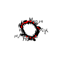 CC(C)C[C@@H]1NC(=O)[C@H](Cc2ccc(O)cc2)NC(=O)[C@H](Cc2c[nH]c3ccccc23)NC(=O)[C@H]2CCCCN2C(=O)[C@H](CCC(=O)O)NC(=O)[C@H](Cc2ccccc2)N(C)C(=O)[C@H](C(C)C)NC(=O)[C@H](CC(=O)O)NC(=O)[C@H]2CCCN2C(=O)[C@H](Cc2ccccc2)N(C)C(=O)[C@H](Cc2ccc(F)cc2)N(C)C(=O)[C@H](Cc2cc(F)c(F)c(F)c2)NC(=O)CSC[C@@H](C(=O)NCC(N)=O)NC1=O